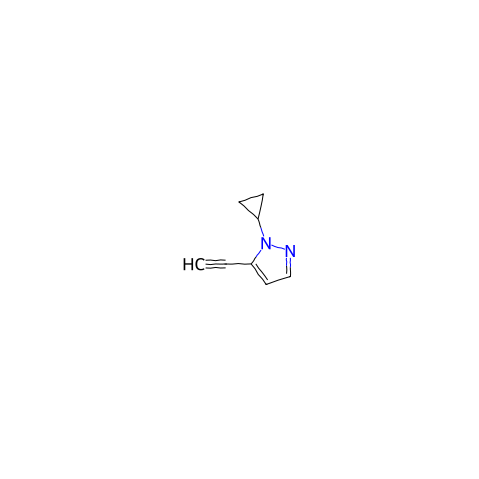 C#Cc1ccnn1C1CC1